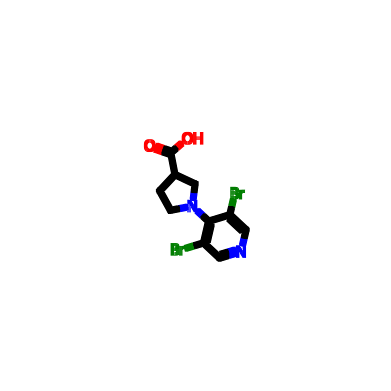 O=C(O)C1CCN(c2c(Br)cncc2Br)C1